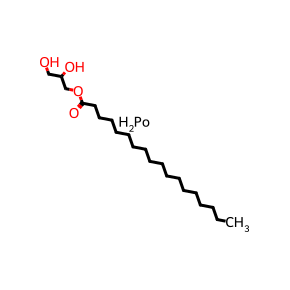 CCCCCCCCCCCCCCCCCC(=O)OCC(O)CO.[PoH2]